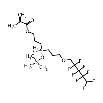 C=C(C)C(=O)OCCC[Si](C)(CCCOCC(F)(F)C(F)(F)C(F)(F)C(F)F)O[Si](C)(C)C